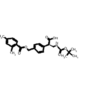 Cc1ccc(C(=O)OCc2ccc([C@H](CNC(=O)OC(C)(C)C)C(=O)O)cc2)c(C)c1